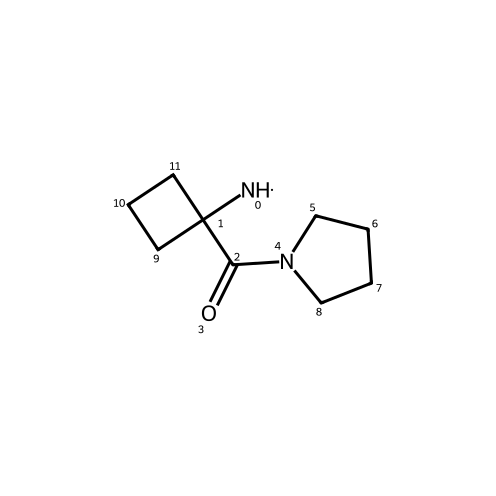 [NH]C1(C(=O)N2CCCC2)CCC1